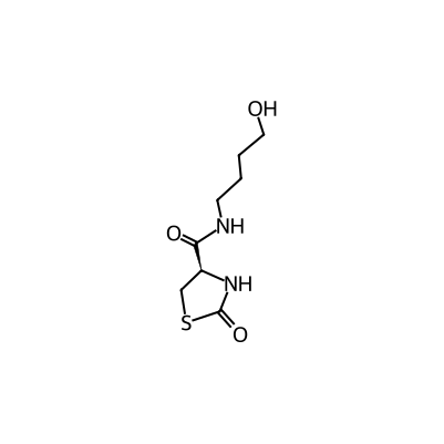 O=C1N[C@H](C(=O)NCCCCO)CS1